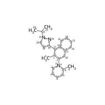 Cc1c(-[n+]2ccccc2C)cc2ccccc2c1-c1ccn(C(C)C)n1